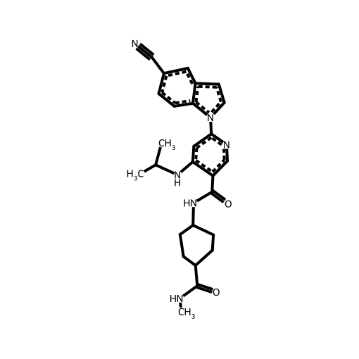 CNC(=O)C1CCC(NC(=O)c2cnc(-n3ccc4cc(C#N)ccc43)cc2NC(C)C)CC1